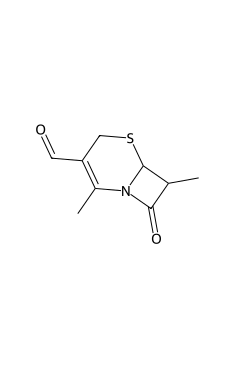 CC1=C(C=O)CSC2C(C)C(=O)N12